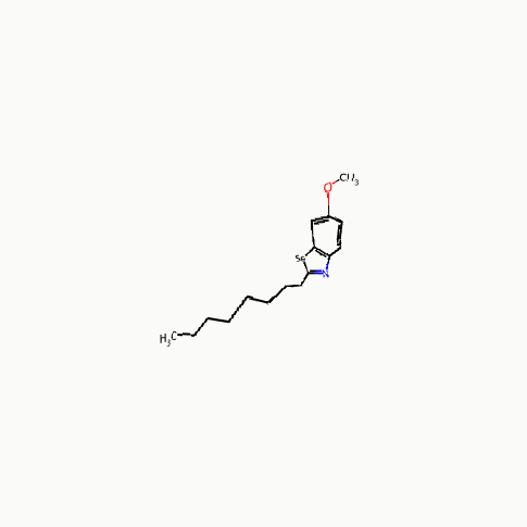 CCCCCCCCc1nc2ccc(OC)cc2[se]1